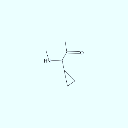 CNC(C(C)=O)C1CC1